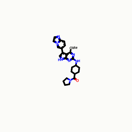 COc1nc(NC2CCC(C(=O)N3CCCC3)CC2)nc2[nH]cc(-c3ccc4nccn4c3)c12